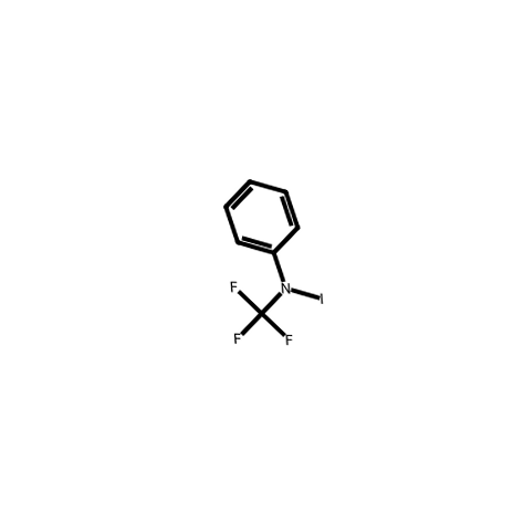 FC(F)(F)N(I)c1ccccc1